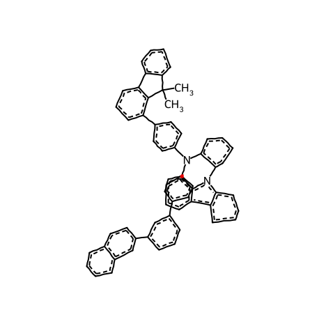 CC1(C)c2ccccc2-c2cccc(-c3ccc(N(c4ccc(-c5cccc(-c6ccc7ccccc7c6)c5)cc4)c4ccccc4-n4c5ccccc5c5ccccc54)cc3)c21